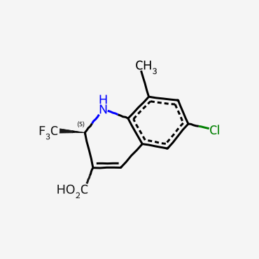 Cc1cc(Cl)cc2c1N[C@H](C(F)(F)F)C(C(=O)O)=C2